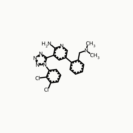 CN(C)Cc1ccccc1-c1cnc(N)c(-c2nnnn2-c2cccc(Cl)c2Cl)c1